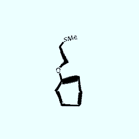 CSCCOc1ccccc1